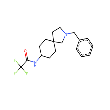 O=C(NC1CCC2(CC1)CCN(Cc1ccccc1)C2)C(F)(F)F